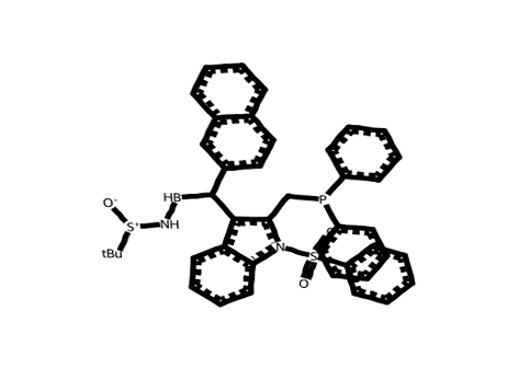 CC(C)(C)[S+]([O-])NBC(c1ccc2ccccc2c1)c1c(CP(c2ccccc2)c2ccccc2)n(S(=O)(=O)c2ccccc2)c2ccccc12